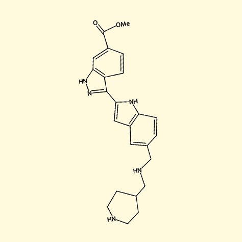 COC(=O)c1ccc2c(-c3cc4cc(CNCC5CCNCC5)ccc4[nH]3)n[nH]c2c1